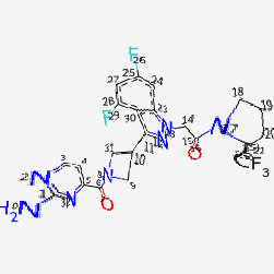 Nc1nccc(C(=O)N2CC(c3nn(CC(=O)N4CCC[C@H]4C(F)(F)F)c4cc(F)cc(F)c34)C2)n1